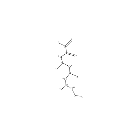 C=C(C)C(=O)OC(C)OC(C)OC(C)OCC